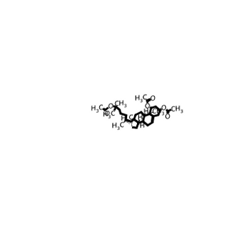 CC(=O)OC1C[C@@H](OC(C)=O)CC2=CC[C@H]3[C@@H]4CC[C@H]([C@H](C)CCCC(C)(C)OC(C)=O)[C@@]4(C)CC[C@@H]3[C@]21C